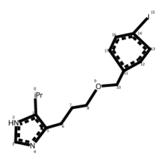 CC(C)c1[nH]cnc1CCCOCc1ccc(I)cc1